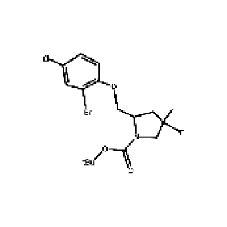 CC(C)(C)OC(=O)N1CC(F)(F)CC1COc1ccc(Cl)cc1Br